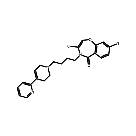 O=C1c2ccc(Cl)cc2OC=C(Cl)N1CCCCN1CC=C(c2ccccn2)CC1